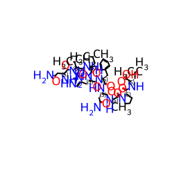 CC(C)C[C@H](NC(=O)[C@@H]1CCCN1C(=O)[C@H](C)NC(=O)[C@H](CC(N)=O)NC(=O)[C@H](Cc1ccccc1)NC(=O)[C@H](Cc1c[nH]cn1)NC(=O)[C@H](CC(C)C)NC(=O)[C@@H](NC(=O)[C@@H](N)CC(N)=O)C(C)C)C(=O)O